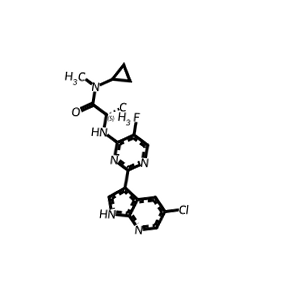 C[C@H](Nc1nc(-c2c[nH]c3ncc(Cl)cc23)ncc1F)C(=O)N(C)C1CC1